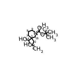 C=CCC1(C(O)O)CCCN(C(=O)OC(C)(C)C)C1